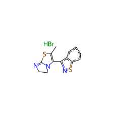 Br.CC1=C(c2nsc3ccccc23)N2CCN=C2S1